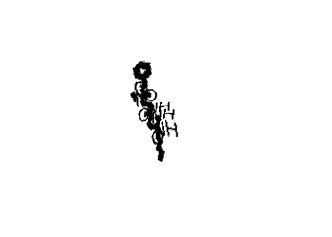 CCCCONC1CCC(C(=O)N[C@@H](C)CN(CC)C(=O)OCc2ccccc2)NC1